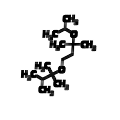 CC(C)OC(C)(C)CCOC(C)(C)C(C)C